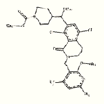 CCCCOc1nc(C)cc(C)c1CN1CCc2c(Cl)cc(C(OC)C3CCN(C(=O)OC(C)(C)C)CC3)c(Cl)c2C1=O